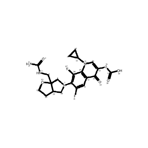 NC(=O)NCC12CN(c3c(F)cc4c(=O)c(OC(=O)O)cn(C5CC5)c4c3F)CC1CCO2